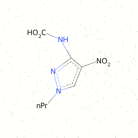 CCCn1cc([N+](=O)[O-])c(NC(=O)O)n1